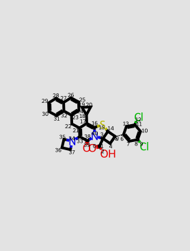 O=C(O)C12C[C@@H](c3cc(Cl)cc(Cl)c3)C1Sc1c(C3CC3)c(Cc3cccc4ccccc34)c(N3CCC3)c(=O)n12